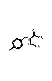 CN[C@H](Cc1ccc(F)cc1)C(C)=O